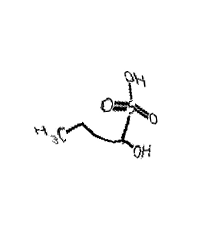 CCC[C](O)S(=O)(=O)O